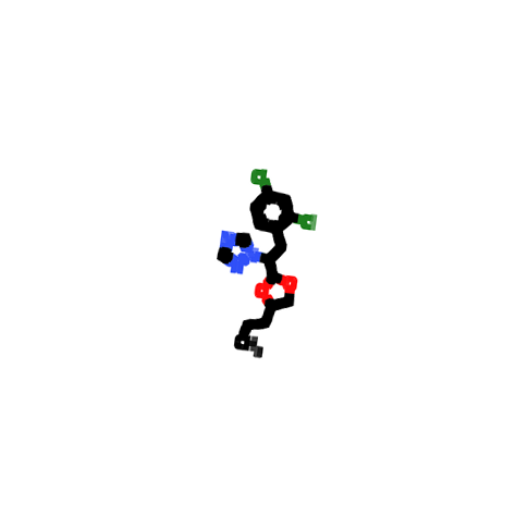 CCCC1COC(C(Cc2ccc(Cl)cc2Cl)n2cncn2)O1